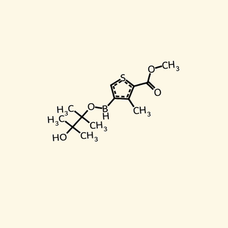 COC(=O)c1scc(BOC(C)(C)C(C)(C)O)c1C